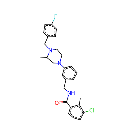 Cc1c(Cl)cccc1C(=O)NCc1cccc(N2CCN(Cc3ccc(F)cc3)C(C)C2)c1